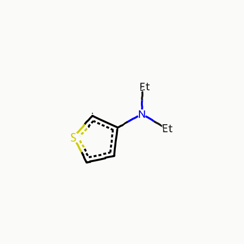 CCN(CC)c1[c]scc1